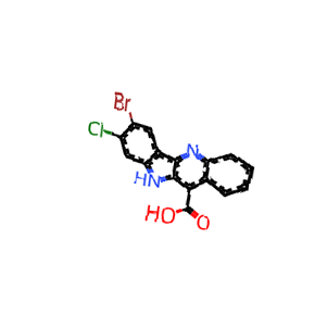 O=C(O)c1c2ccccc2nc2c1[nH]c1cc(Cl)c(Br)cc12